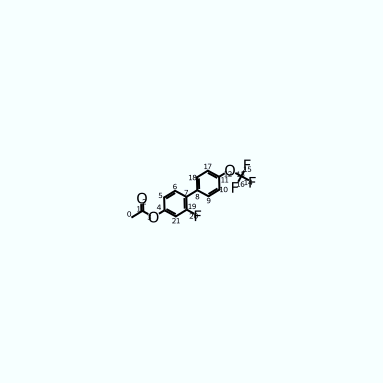 CC(=O)Oc1ccc(-c2ccc(OC(F)(F)F)cc2)c(F)c1